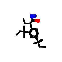 CCC(C([NH])=O)c1ccc(C(C)(C)CC)cc1C(C)(C)CC